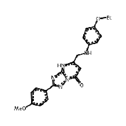 CCOc1ccc(NCc2cc(=O)n3nc(-c4ccc(OC)cc4)nc3[nH]2)cc1